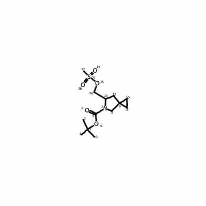 CC(C)(C)OC(=O)N1CC2(CC2)CC1COS(C)(=O)=O